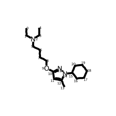 CCN(CC)CCCCOc1cc(C)n(C2CCCCC2)n1